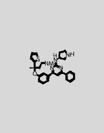 CNCC[C@](C)(Oc1cccc(-c2cc(-c3ccccc3)nc(N[C@H]3CCNC3)n2)c1)c1cccs1